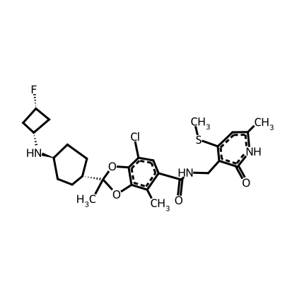 CSc1cc(C)[nH]c(=O)c1CNC(=O)c1cc(Cl)c2c(c1C)OC(C)([C@H]1CC[C@H](N[C@H]3C[C@@H](F)C3)CC1)O2